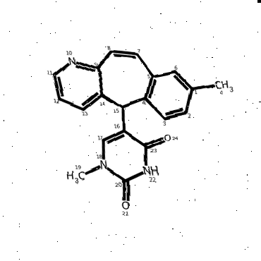 Cc1ccc2c(c1)C=Cc1ncccc1C2c1cn(C)c(=O)[nH]c1=O